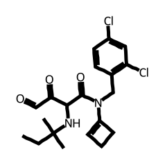 CCC(C)(C)NC(C(=O)C=O)C(=O)N(Cc1ccc(Cl)cc1Cl)C1=CCC1